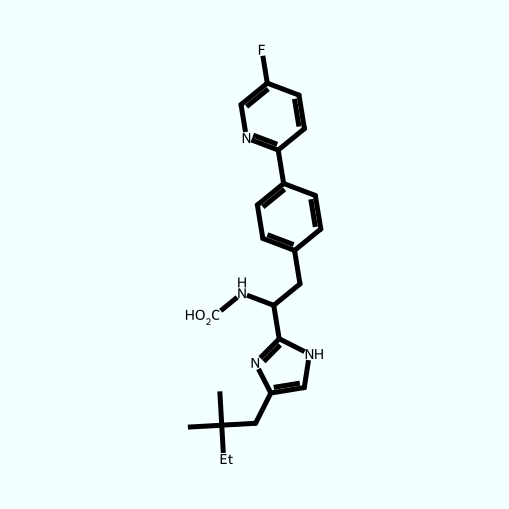 CCC(C)(C)Cc1c[nH]c(C(Cc2ccc(-c3ccc(F)cn3)cc2)NC(=O)O)n1